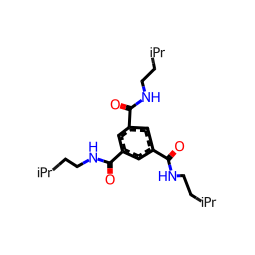 CC(C)CCNC(=O)c1cc(C(=O)NCCC(C)C)cc(C(=O)NCCC(C)C)c1